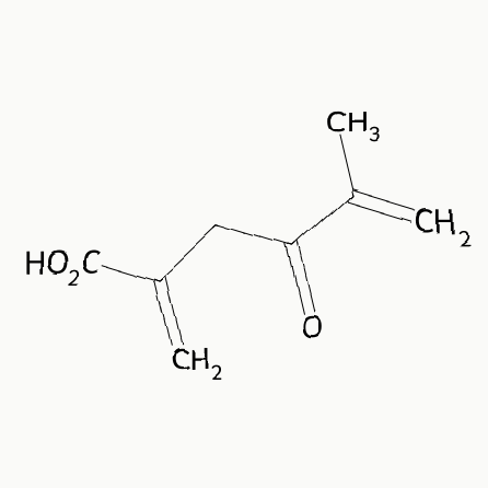 C=C(C)C(=O)CC(=C)C(=O)O